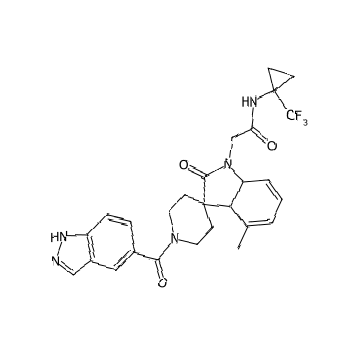 CC1=CC=CC2C1C1(CCN(C(=O)c3ccc4[nH]ncc4c3)CC1)C(=O)N2CC(=O)NC1(C(F)(F)F)CC1